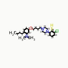 C=CCCc1ccc(OCCCCN2CCN(c3cccc(Cl)c3S)CC2)cc1N(C)C